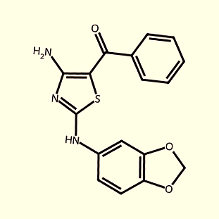 Nc1nc(Nc2ccc3c(c2)OCO3)sc1C(=O)c1ccccc1